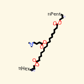 CCCCC/C=C\COC(=O)CCCCCCCC(CCCCCCCC(=O)OC/C=C\CCCCCC)OC(=O)CCCN(C)C